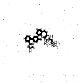 CC(C)(N)CC(=O)N[C@@H]1CCc2ccccc2N(Cc2ccc(-c3ccccc3-c3nc[nH]n3)cc2)C1=O